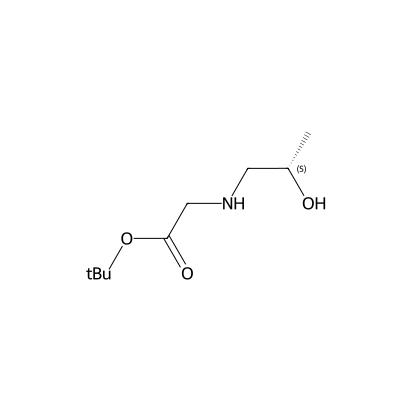 C[C@H](O)CNCC(=O)OC(C)(C)C